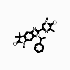 Cc1nc(-c2nc3cc4c(cc3n2C(C)c2ccccc2)N(C)C(=O)C4(C)C)cn(C)c1=O